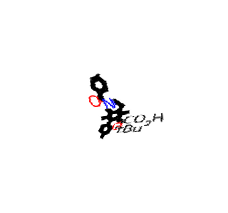 Cc1ccc(-c2c(C)c3c(c(C)c2C(OC(C)(C)C)C(=O)O)CCN(C(=O)C2CCCCC2)C3)cc1